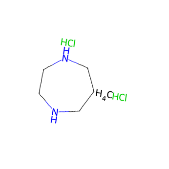 C.C1CNCCNC1.Cl.Cl